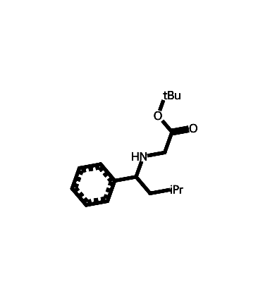 CC(C)CC(NCC(=O)OC(C)(C)C)c1ccccc1